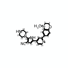 CN1CCOc2ccc(-c3cc(-c4cc(C#N)c(N5CCNCC5)[nH]4)ccn3)cc21